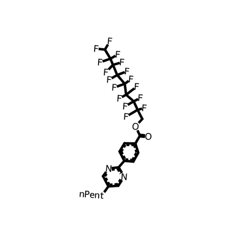 CCCCCc1cnc(-c2ccc(C(=O)OCC(F)(F)C(F)(F)C(F)(F)C(F)(F)C(F)(F)C(F)(F)C(F)(F)C(F)F)cc2)nc1